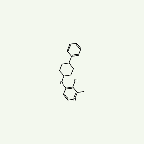 Cc1nccc(OC2CCC(c3ccccc3)CC2)c1Cl